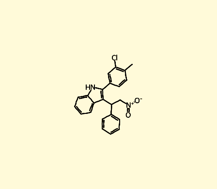 Cc1ccc(-c2[nH]c3ccccc3c2C(C[N+](=O)[O-])c2ccccc2)cc1Cl